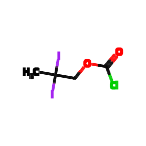 CC(I)(I)COC(=O)Cl